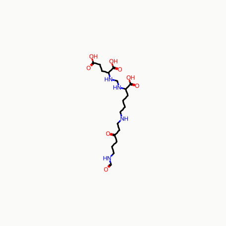 O=CNCCCC(=O)CCNCCCCC(NCNC(CCC(=O)O)C(=O)O)C(=O)O